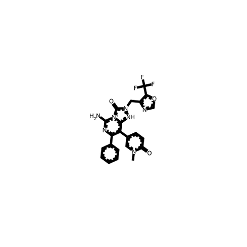 Cn1cc(-c2c(-c3ccccc3)nc(N)[n+]3c(=O)n(Cc4ncoc4C(F)(F)F)[nH]c23)ccc1=O